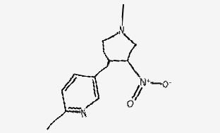 Cc1ccc(C2CN(C)CC2[N+](=O)[O-])cn1